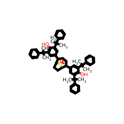 CC(C)(c1ccccc1)c1cc(C2CCC(c3cc(C(C)(C)c4ccccc4)c(O)c(C(C)(C)c4ccccc4)c3)C3CCC2S3(=O)=O)cc(C(C)(C)c2ccccc2)c1O